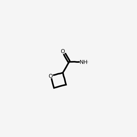 [NH]C(=O)C1CCO1